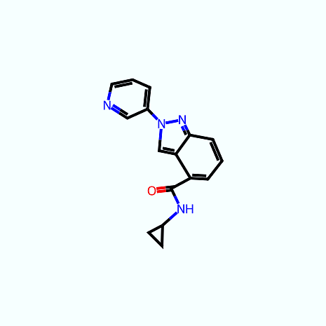 O=C(NC1CC1)c1cccc2nn(-c3cccnc3)cc12